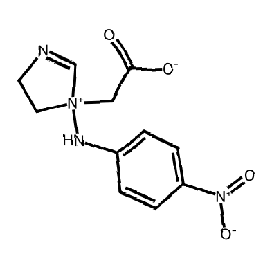 O=C([O-])C[N+]1(Nc2ccc([N+](=O)[O-])cc2)C=NCC1